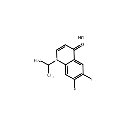 CC(C)n1ccc(=O)c2cc(F)c(F)cc21.Cl